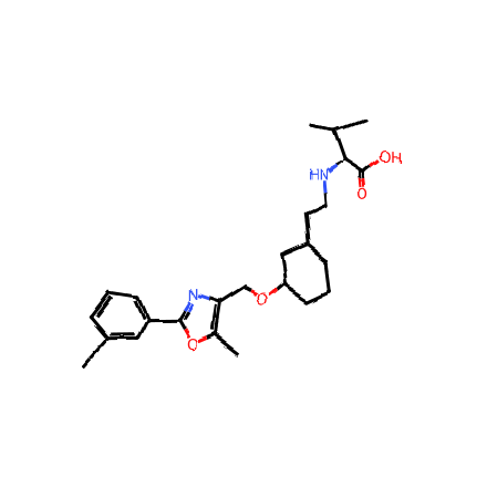 Cc1cccc(-c2nc(COC3CCCC(CCN[C@H](C(=O)O)C(C)C)C3)c(C)o2)c1